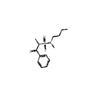 CCCCN(C)S(=O)(=O)C(C)C(=O)c1ccccc1